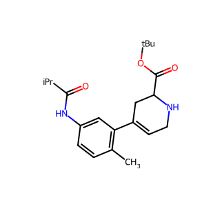 Cc1ccc(NC(=O)C(C)C)cc1C1=CCNC(C(=O)OC(C)(C)C)C1